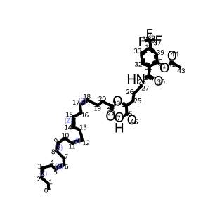 CC/C=C\C/C=C\C/C=C\C/C=C\C/C=C\C/C=C\CCC(=O)OC(CCCNC(=O)c1ccc(C(F)(F)F)cc1OC(C)=O)C(=O)O